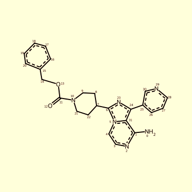 Nc1nccn2c(C3CCN(C(=O)OCc4ccccc4)CC3)nc(-c3cccnc3)c12